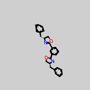 c1ccc(C[C@H]2COC(c3cccc(C4=N[C@H](Cc5ccccc5)CO4)c3)=N2)cc1